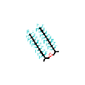 CC(COCC(C)C(F)(F)C(F)(F)C(F)(F)C(F)(F)C(F)(F)C(F)(F)C(F)(F)C(F)(F)F)C(F)(F)C(F)(F)C(F)(F)C(F)(F)C(F)(F)C(F)(F)C(F)(F)C(F)(F)F